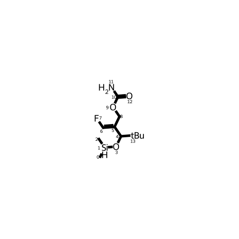 C[SiH](C)OC(C(=CF)COC(N)=O)C(C)(C)C